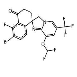 O=C1CC[C@@]2(CN3C=C(C(F)(F)F)C=C(OC(F)F)C3=N2)c2ccc(Br)c(F)c21